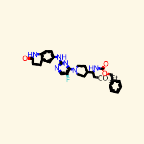 CCOC(=O)CC(NC(=O)OCc1ccccc1)C1CCN(c2nc(Nc3ccc4c(c3)CCC(=O)N4)ncc2F)CC1